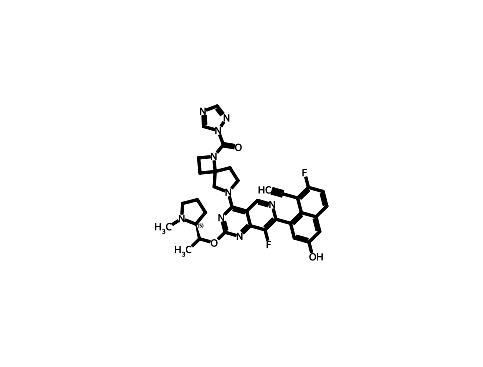 C#Cc1c(F)ccc2cc(O)cc(-c3ncc4c(N5CCC6(CCN6C(=O)n6cncn6)C5)nc(OC(C)[C@@H]5CCCN5C)nc4c3F)c12